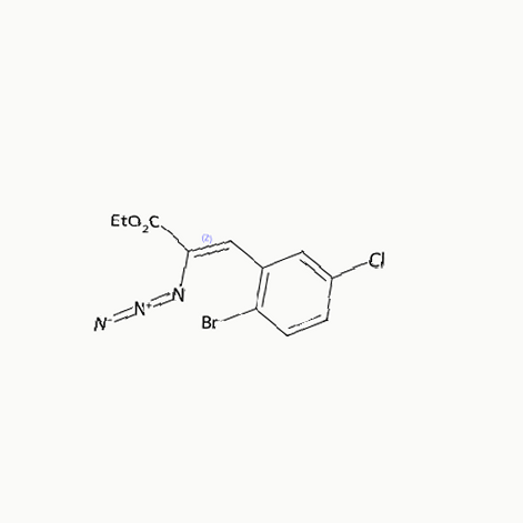 CCOC(=O)/C(=C/c1cc(Cl)ccc1Br)N=[N+]=[N-]